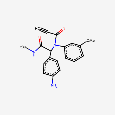 C#CC(=O)N(c1cccc(OC)c1)C(C(=O)NC(C)(C)C)c1ccc(N)cc1